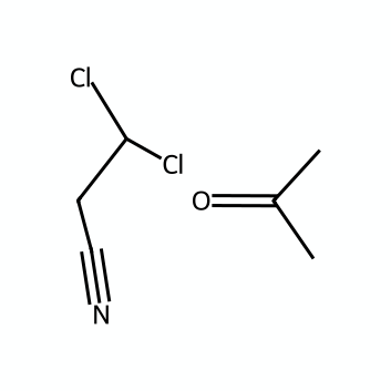 CC(C)=O.N#CCC(Cl)Cl